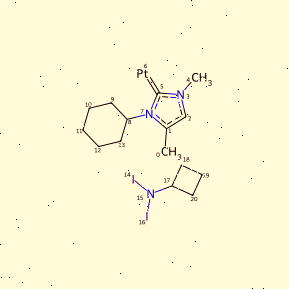 Cc1cn(C)[c](=[Pt])n1C1CCCCC1.IN(I)C1CCC1